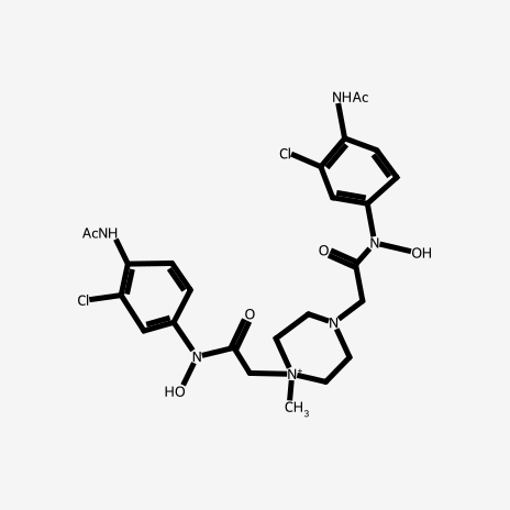 CC(=O)Nc1ccc(N(O)C(=O)CN2CC[N+](C)(CC(=O)N(O)c3ccc(NC(C)=O)c(Cl)c3)CC2)cc1Cl